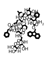 CC[C@H](C)[C@H](NC(=O)[C@@H](CCCNC(=O)OCc1ccccc1)NC(=O)[C@H](CC(C)C)NC(=O)C(NC(=O)[C@@H](NC(=O)OCC1c2ccccc2-c2ccccc21)[C@H](N)c1ccccc1)[C@H](O)C(C)C)C(=O)N[C@H](C(=O)NCC(=O)N[C@@H](CO)C(=O)N[C@@H](CO)C(=O)O)[C@H](C)O